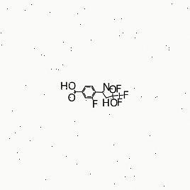 O=C(O)c1ccc(C2=NOC(O)(C(F)(F)F)C2)c(F)c1